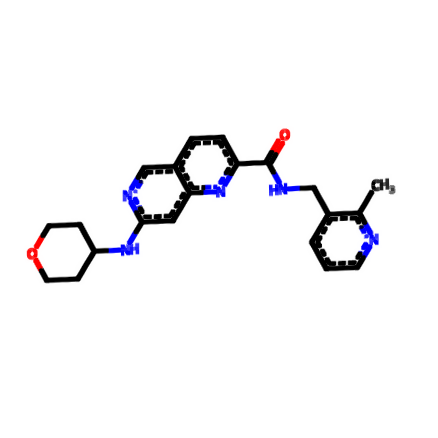 Cc1ncccc1CNC(=O)c1ccc2cnc(NC3CCOCC3)cc2n1